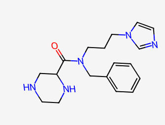 O=C(C1CNCCN1)N(CCCn1ccnc1)Cc1ccccc1